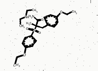 CCNCC.CCOc1ccc(CC(C)(C(N)=O)S(=O)(=O)c2ccc(OCC)cc2)cc1